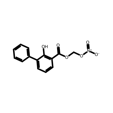 O=C(OCO[N+](=O)[O-])c1cccc(-c2ccccc2)c1O